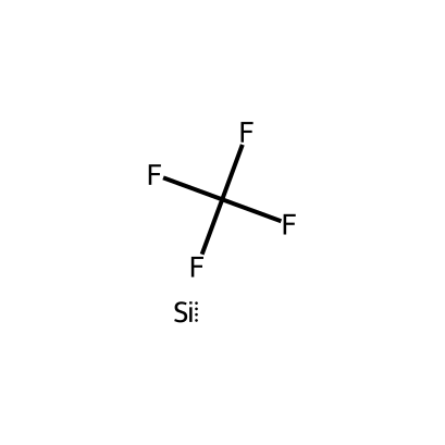 FC(F)(F)F.[Si]